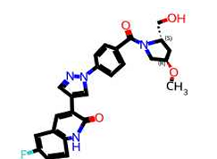 CO[C@@H]1C[C@@H](CO)N(C(=O)c2ccc(-n3cc(-c4cc5cc(F)ccc5[nH]c4=O)cn3)cc2)C1